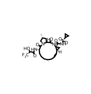 C[C@@H]1C[C@H]2C(=O)N[C@]3(C(=O)NS(=O)(=O)C4CC4)C[C@H]3/C=C\CCCCC[C@H](NC(=O)C(O)C(F)(F)F)C(=O)N2C1